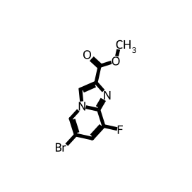 COC(=O)c1cn2cc(Br)cc(F)c2n1